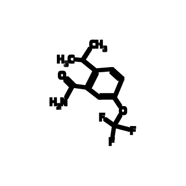 CC(C)c1ccc(OC(F)(F)F)cc1C(N)=O